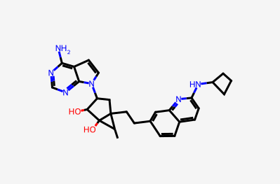 CC1C2(CCc3ccc4ccc(NC5CCC5)nc4c3)CC(n3ccc4c(N)ncnc43)C(O)C12O